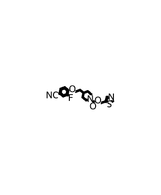 N#Cc1ccc(OCCC2CCN(C(=O)OCc3cncs3)CC2)c(F)c1